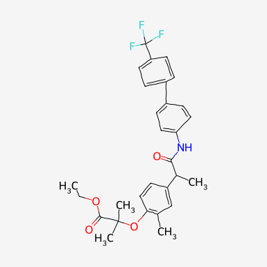 CCOC(=O)C(C)(C)Oc1ccc(C(C)C(=O)Nc2ccc(-c3ccc(C(F)(F)F)cc3)cc2)cc1C